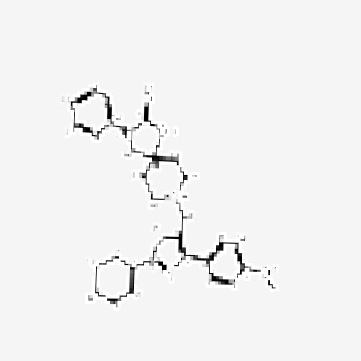 COc1ccc(-c2nc(C3CCCCC3)sc2CN2CCC3(CC2)CN(c2ccccc2)C(=O)O3)cc1